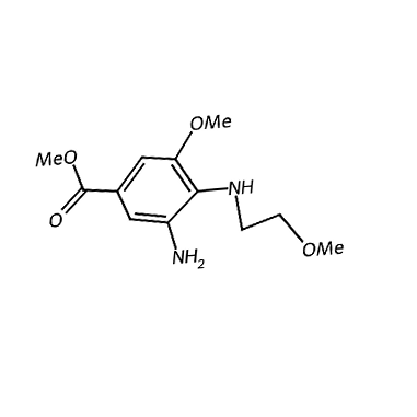 COCCNc1c(N)cc(C(=O)OC)cc1OC